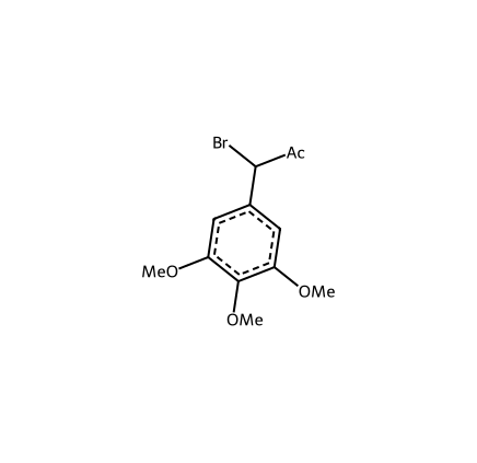 COc1cc(C(Br)C(C)=O)cc(OC)c1OC